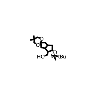 CC1(C)COC2(CC3CC(O[Si](C)(C)C(C)(C)C)C(CO)C3C2)OC1